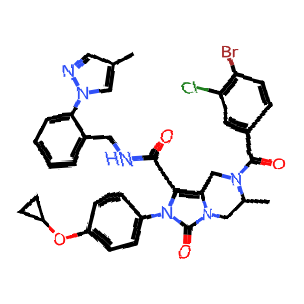 Cc1cnn(-c2ccccc2CNC(=O)c2c3n(c(=O)n2-c2ccc(OC4CC4)cc2)CC(C)N(C(=O)c2ccc(Br)c(Cl)c2)C3)c1